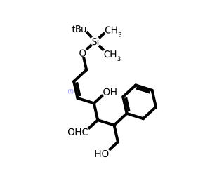 CC(C)(C)[Si](C)(C)OC/C=C\C(O)C(C=O)C(CO)C1=CC=CCC1